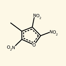 Cc1c([N+](=O)[O-])oc([N+](=O)[O-])c1[N+](=O)[O-]